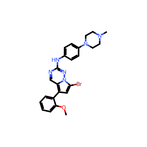 COc1ccccc1-c1cc(Br)n2nc(Nc3ccc(N4CCN(C)CC4)cc3)ncc12